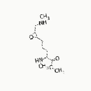 CNCC1OC1CCCC(NC)C(=O)OC